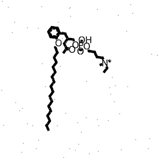 CCCCCCCCCCCCCCCCCCOc1ccccc1CC(COP(=O)(O)OCCCC[N+](C)(C)CC)CC(C)=O